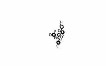 COc1cc(F)c([C@@H]2CN(c3c(C)ccn(C4CCNCC4)c3=O)C(=O)[C@H]2NC(=O)c2ccc(Cl)cc2)c(F)c1